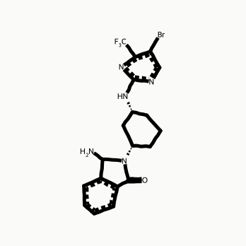 NC1c2ccccc2C(=O)N1[C@H]1CCC[C@@H](Nc2ncc(Br)c(C(F)(F)F)n2)C1